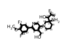 COc1c(F)cc(-c2cc(CO)c(N3CCCC(N)(C(O)C(F)F)C3)cn2)cc1F